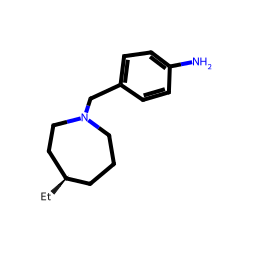 CC[C@@H]1CCCN(Cc2ccc(N)cc2)CC1